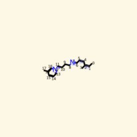 C\C=C(C)/C=C\C=N\CCCC[n+]1cccc(C)c1